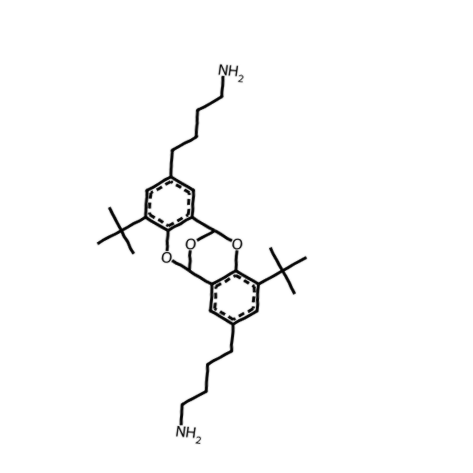 CC(C)(C)c1cc(CCCCN)cc2c1OC1OC2Oc2c1cc(CCCCN)cc2C(C)(C)C